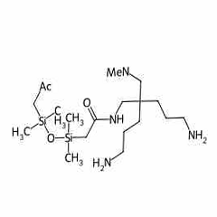 CNCC(CCCN)(CCCN)CNC(=O)C[Si](C)(C)O[Si](C)(C)CC(C)=O